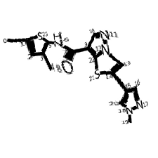 Cc1cc(C)c(NC(=O)c2cnn3cc(-c4cnn(C)c4)sc23)s1